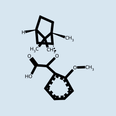 COc1ccccc1C(O[C@@H]1C[C@@H]2CC[C@@]1(C)C2(C)C)C(=O)O